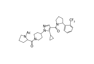 CC(=O)N1CCCC1C(=O)N1CCC(n2ncc(C(=O)N3CCCC3c3ccccc3C(F)(F)F)c2C2CC2)CC1